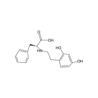 O=C(O)[C@H](Cc1ccccc1)NCCc1ccc(O)cc1O